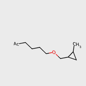 CC(=O)CCCCOCC1CC1C